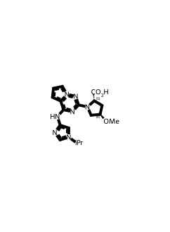 CO[C@@H]1C[C@@H](C(=O)O)N(c2nc(Nc3cn(C(C)C)cn3)c3cccn3n2)C1